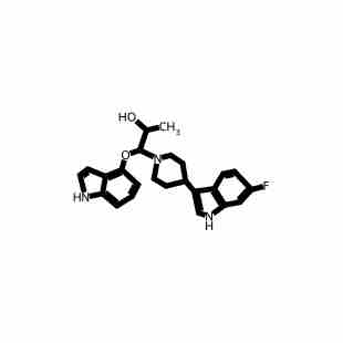 CC(O)C(Oc1cccc2[nH]ccc12)N1CCC(c2c[nH]c3cc(F)ccc23)CC1